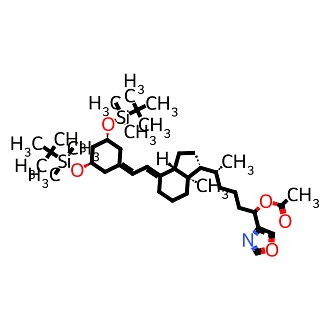 CC(=O)OC(CCC[C@@H](C)[C@H]1CC[C@H]2/C(=C/C=C3C[C@@H](O[Si](C)(C)C(C)(C)C)C[C@H](O[Si](C)(C)C(C)(C)C)C3)CCC[C@]12C)c1cocn1